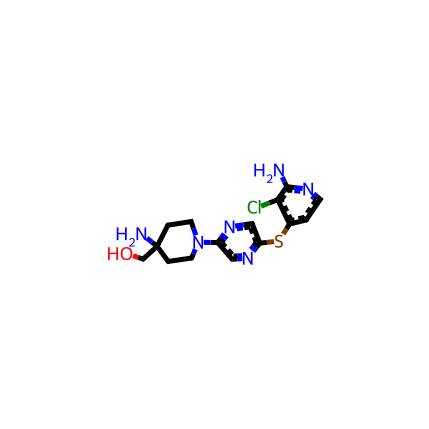 Nc1nccc(Sc2cnc(N3CCC(N)(CO)CC3)cn2)c1Cl